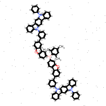 Cc1cc(C)c(B(c2ccc3c(c2)oc2ccc(-c4cccc(-n5c6ccccc6c6cc7c(cc65)c5ccccc5n7-c5ccccc5)c4)cc23)c2ccc3oc4ccc(-c5cccc(-n6c7ccccc7c7cc8c(cc76)c6ccccc6n8-c6ccccc6)c5)cc4c3c2)c(C)c1